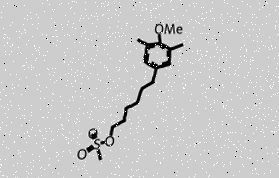 COc1c(C)cc(CCCCCCOS(C)(=O)=O)cc1C